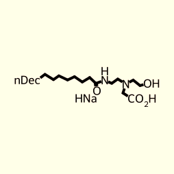 CCCCCCCCCCCCCCCCCC(=O)NCCN(CCO)CC(=O)O.[NaH]